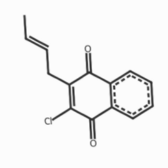 CC=CCC1=C(Cl)C(=O)c2ccccc2C1=O